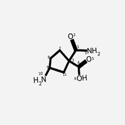 NC(=O)C1(C(=O)O)CCC(N)C1